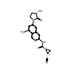 N#C[C@H]1C[C@@H]1C(=O)Nc1cc2cc(N3CC[C@H](O)C3=O)cc(N)c2cn1